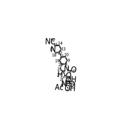 CC(=O)N(CC1OC(=O)N2c3ccc(-c4ccc(C#N)nc4)cc3C[C@@H]12)P(=O)(O)O